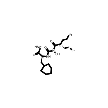 CCSC[C@@H](CCC(C)C)C(=O)N(O)C(=O)N[C@@H](CC1CCCCC1)C(=O)NC